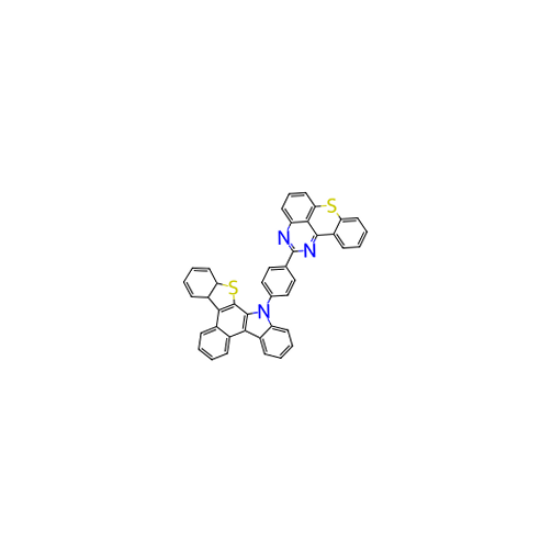 C1=CC2Sc3c(c4ccccc4c4c5ccccc5n(-c5ccc(-c6nc7c8c(cccc8n6)Sc6ccccc6-7)cc5)c34)C2C=C1